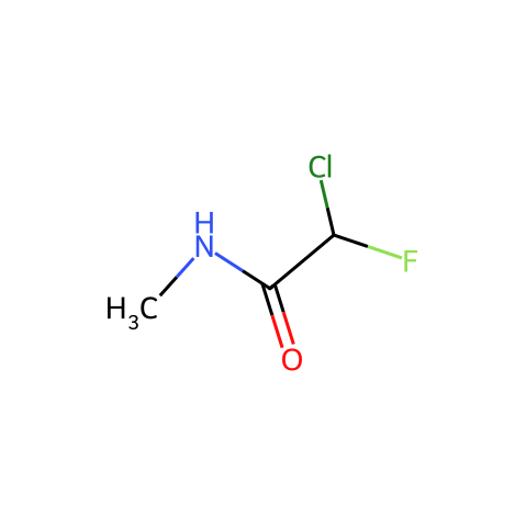 CNC(=O)C(F)Cl